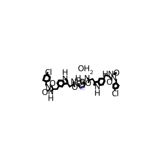 NC(Cc1c[nH]c2ccc(CC3NC(=O)N(Cc4ccc(Cl)cc4)C3=O)cc12)OC(=O)/C=C\C(=O)OC(N)Cc1c[nH]c2ccc(CC3NC(=O)N(Cc4ccc(Cl)cc4)C3=O)cc12.O